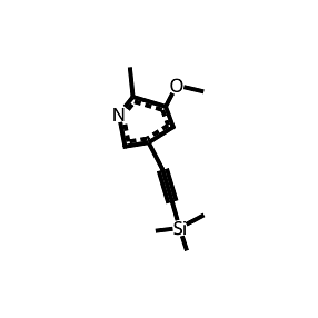 COc1cc(C#C[Si](C)(C)C)cnc1C